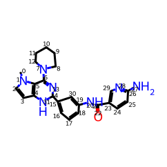 Cn1ccc2c1C(N1CCCCC1)=NC(c1cccc(NC(=O)c3ccc(N)nc3)c1)N2